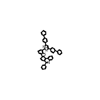 C1=C(c2ccc(-c3ccccc3)cc2)NC(c2cccc3c2sc2c3ccc3c(-c4ccccc4)nc4ccccc4c32)N=C1c1ccc(-c2ccccc2)cc1